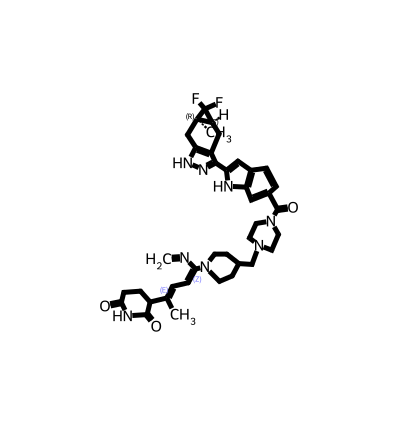 C=N/C(=C\C=C(/C)C1CCC(=O)NC1=O)N1CCC(CN2CCN(C(=O)c3ccc4cc(-c5n[nH]c6c5C[C@@H]5C(F)(F)[C@]5(C)C6)[nH]c4c3)CC2)CC1